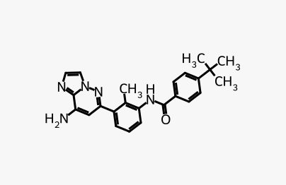 Cc1c(NC(=O)c2ccc(C(C)(C)C)cc2)cccc1-c1cc(N)c2nccn2n1